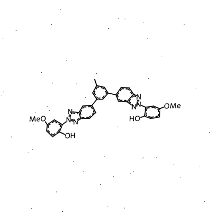 COc1ccc(O)c(-n2nc3ccc(-c4cc(C)cc(-c5ccc6nn(-c7cc(OC)ccc7O)nc6c5)c4)cc3n2)c1